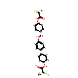 CC[C@@H](F)C(=O)O[C@H]1CC[C@H](COc2ccc([C@H]3CC[C@H](OC(=O)[C@H](F)CC)CC3)cc2)CC1